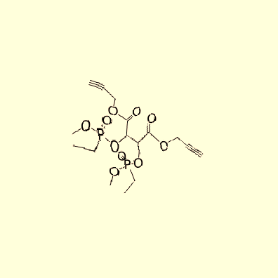 C#CCOC(=O)C(OP(=O)(CC)OC)C(OP(=O)(CC)OC)C(=O)OCC#C